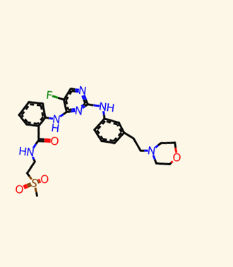 CS(=O)(=O)CCNC(=O)c1ccccc1Nc1nc(Nc2cccc(CCN3CCOCC3)c2)ncc1F